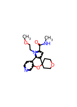 CNC(=O)c1cc2c(n1CCOC)-c1ccncc1OC21CCOCC1